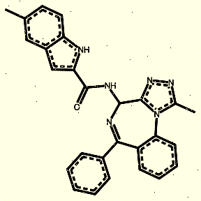 Cc1ccc2[nH]c(C(=O)NC3N=C(c4ccccc4)c4ccccc4-n4c(C)nnc43)cc2c1